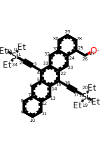 CC[Si](C#Cc1c2cc3ccccc3cc2c(C#C[Si](CC)(CC)CC)c2cc3c(C[O])cccc3cc12)(CC)CC